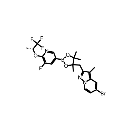 Cc1c(CC2(C)OB(c3cnc(O[C@H](C)C(F)(F)F)c(F)c3)OC2(C)C)nn2ccc(Br)cc12